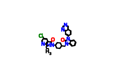 Cc1ncc(Cl)cc1C(=O)NC1CCC(Cn2c(=O)n(-c3ccc4cncnc4c3)c3ccccc32)CC1